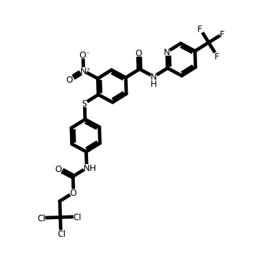 O=C(Nc1ccc(Sc2ccc(C(=O)Nc3ccc(C(F)(F)F)cn3)cc2[N+](=O)[O-])cc1)OCC(Cl)(Cl)Cl